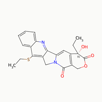 CCSc1c2c(nc3ccccc13)-c1cc3c(c(=O)n1C2)COC(=O)[C@]3(O)CC